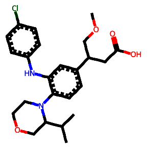 COCC(CC(=O)O)c1ccc(N2CCOCC2C(C)C)c(Nc2ccc(Cl)cc2)c1